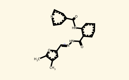 Cc1cc(/C=N/NC(=O)c2ccccc2NC(=O)c2ccncc2)oc1C